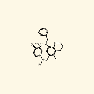 CCOC(=O)c1cn(N(Cc2cc(OCc3ccccc3)c3c(c2I)CCCO3)C(C)C)ccc1=O